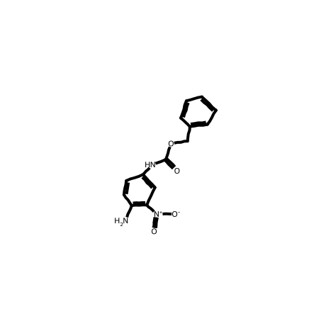 Nc1ccc(NC(=O)OCc2ccccc2)cc1[N+](=O)[O-]